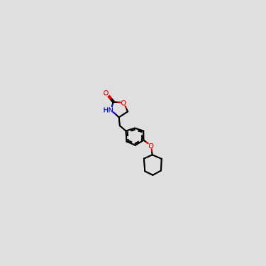 O=C1NC(Cc2ccc(OC3CCCCC3)cc2)CO1